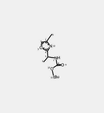 Cc1coc(C(C)NC(=O)OC(C)(C)C)n1